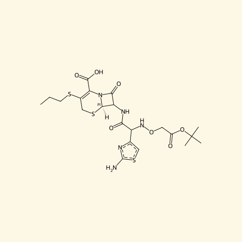 CCCSC1=C(C(=O)O)N2C(=O)C(NC(=O)C(NOCC(=O)OC(C)(C)C)c3csc(N)n3)[C@H]2SC1